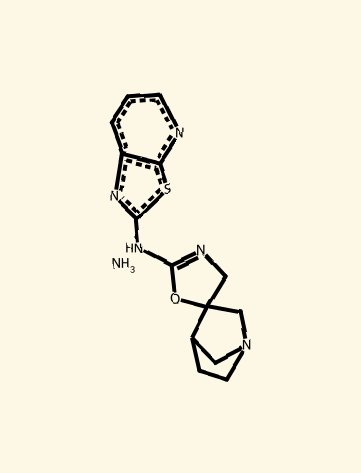 N.c1cnc2sc(NC3=NCC4(CN5CCC4C5)O3)nc2c1